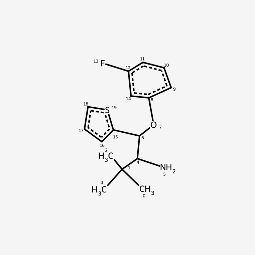 CC(C)(C)C(N)C(Oc1cccc(F)c1)c1cccs1